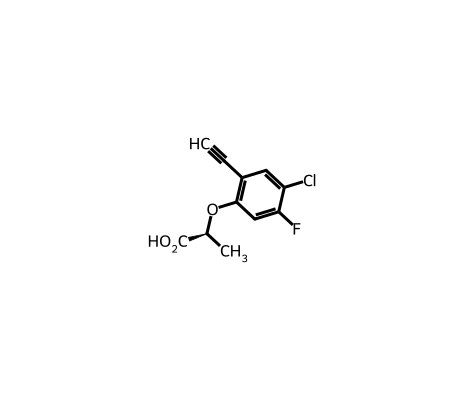 C#Cc1cc(Cl)c(F)cc1O[C@@H](C)C(=O)O